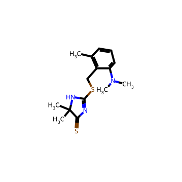 Cc1cccc(N(C)C)c1CSC1=NC(=S)C(C)(C)N1